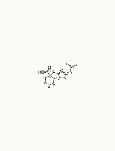 CN(C)Cc1ccc(CC2(C(=O)O)CCCCC2)o1